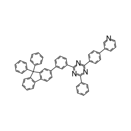 c1ccc(-c2nc(-c3ccc(-c4cccnc4)cc3)nc(-c3cccc(-c4ccc5c(c4)C(c4ccccc4)(c4ccccc4)c4ccccc4-5)c3)n2)cc1